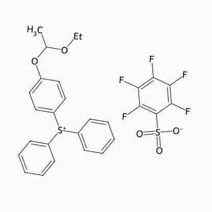 CCOC(C)Oc1ccc([S+](c2ccccc2)c2ccccc2)cc1.O=S(=O)([O-])c1c(F)c(F)c(F)c(F)c1F